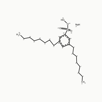 CCCCCCCCc1cc(CCCCCCCC)cc(S(=O)(=O)OO)c1.[NaH]